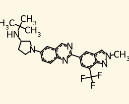 Cn1cc2cc(-c3ncc4cc(N5CC[C@@H](NC(C)(C)C)C5)ccc4n3)cc(C(F)(F)F)c2n1